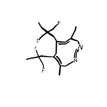 Cc1nnc(C)c(C(C)(F)F)c1C(C)(F)F